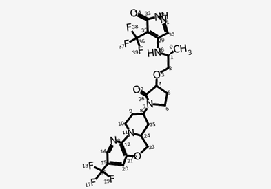 C[C@@H](COC1CCN(C2CCN3c4ncc(C(F)(F)F)cc4OCC3C2)C1=O)Nc1cn[nH]c(=O)c1C(F)(F)F